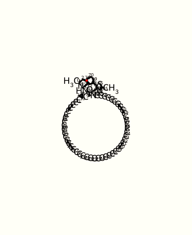 Cc1cccc(NCC2CC3(CCCCCCCCCCCCCCCCCCCCCCCCCCCCCCCCCCCCCCCCCCCCCCCCN2C(=O)c2nc(C)sc2-c2ccccc2)CC3)n1